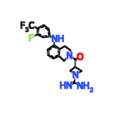 N=C(N)N1CC(C(=O)N2CCc3c(cccc3Nc3ccc(C(F)(F)F)c(F)c3)C2)C1